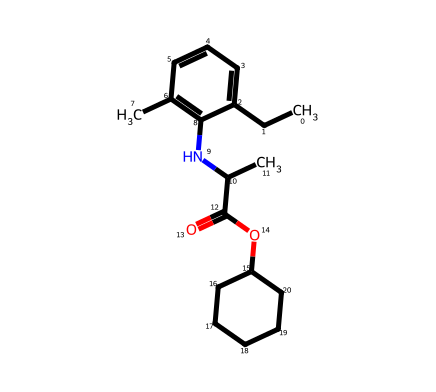 CCc1cccc(C)c1NC(C)C(=O)OC1CCCCC1